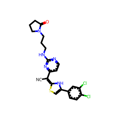 N#C/C(=C1/NC(c2ccc(Cl)c(Cl)c2)=CS1)c1ccnc(NCCCN2CCCC2=O)n1